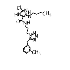 CCCCNc1nc(Cl)[nH]c1C(=O)NCCCn1nnnc1Cc1cccc(C)c1